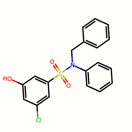 O=S(=O)(c1cc(O)cc(Cl)c1)N(Cc1ccccc1)c1ccccc1